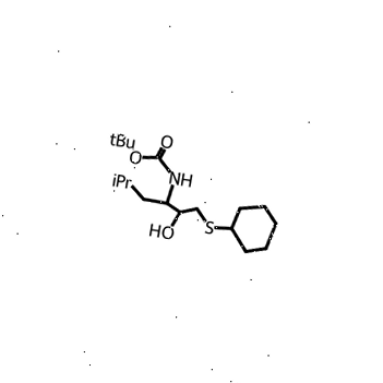 CC(C)CC(NC(=O)OC(C)(C)C)C(O)CSC1CCCCC1